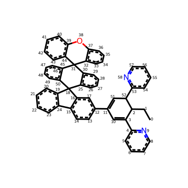 CCC1C(c2ccccn2)=CC(c2ccc3c(c2)C2(c4ccccc4-3)c3ccccc3C3(c4ccccc4Oc4ccccc43)c3ccccc32)=CC1c1ccccn1